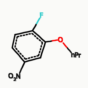 CCCOc1cc([N+](=O)[O-])ccc1F